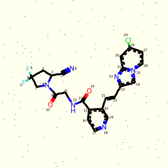 N#CC1CC(F)(F)CN1C(=O)CNC(=O)c1ccncc1C=Cc1cn2ccc(Cl)cc2n1